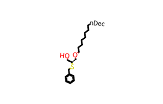 CCCCCCCCCCCCCCCCCCOC[C@H](CO)SCc1ccccc1